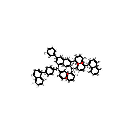 c1ccc(-c2cc(N(c3ccccc3)c3ccc(-c4cccc5ccccc45)cc3)c3cc(N(c4ccccc4)c4ccc(-c5cccc6ccccc56)cc4)c(-c4ccccc4)cc3c2)cc1